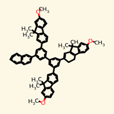 COc1ccc2c(c1)C(C)(C)C1=C2CCC(c2cc(-c3cc(-c4ccc5c(c4)C(C)(C)c4cc(OC)ccc4-5)cc(-c4ccc5ccccc5c4)c3)cc(-c3ccc4c(c3)C(C)(C)c3cc(OC)ccc3-4)c2)=C1